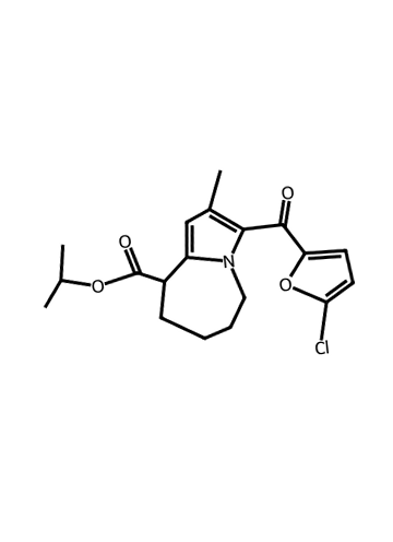 Cc1cc2n(c1C(=O)c1ccc(Cl)o1)CCCCC2C(=O)OC(C)C